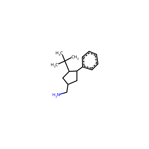 CC(C)(C)C1CC(CN)CC1c1ccccc1